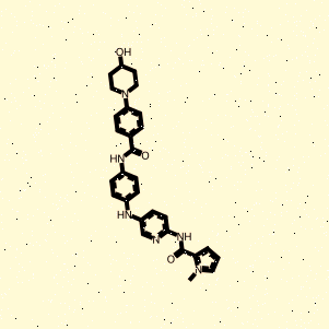 Cn1cccc1C(=O)Nc1ccc(Nc2ccc(NC(=O)c3ccc(N4CCC(O)CC4)cc3)cc2)cn1